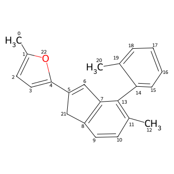 Cc1ccc(C2=Cc3c(ccc(C)c3-c3ccccc3C)C2)o1